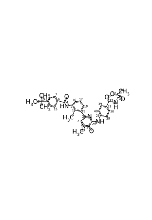 Cc1c(NC(=O)c2ccc(C(C)(C)C)cc2)cccc1-c1cn(C)c(=O)c(Nc2ccc(C(=O)NS(C)(=O)=O)cc2)n1